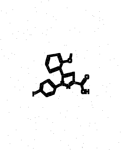 COc1ccccc1-c1cc(C(=O)O)nn1-c1ccc(F)cc1